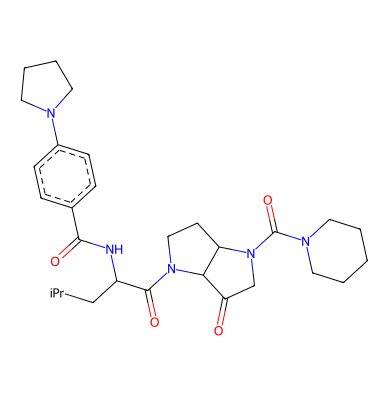 CC(C)CC(NC(=O)c1ccc(N2CCCC2)cc1)C(=O)N1CCC2C1C(=O)CN2C(=O)N1CCCCC1